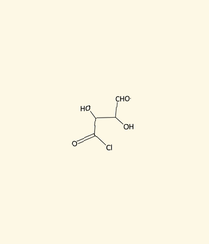 O=[C]C(O)C(O)C(=O)Cl